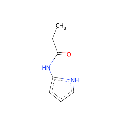 CCC(=O)Nc1ccc[nH]1